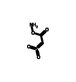 NOC(=O)C=S(=O)=O